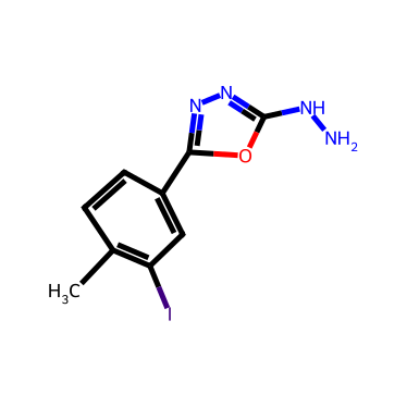 Cc1ccc(-c2nnc(NN)o2)cc1I